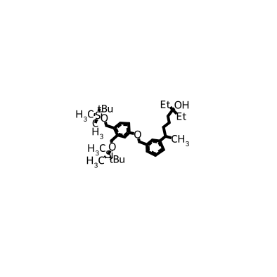 CCC(O)(CC)CCCC(C)c1cccc(COc2ccc(CO[Si](C)(C)C(C)(C)C)c(CO[Si](C)(C)C(C)(C)C)c2)c1